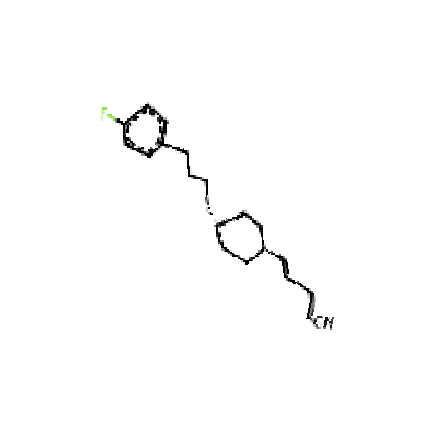 N#CC=CC=C[C@H]1CC[C@H](CCCCc2ccc(F)cc2)CC1